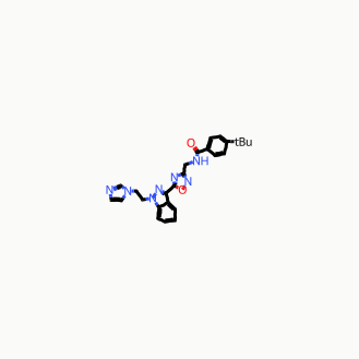 CC(C)(C)c1ccc(C(=O)NCc2noc(-c3nn(CCn4ccnc4)c4ccccc34)n2)cc1